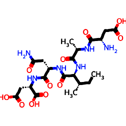 CC[C@H](C)[C@H](NC(=O)[C@H](C)NC(=O)[C@@H](N)CC(=O)O)C(=O)N[C@@H](CC(N)=O)C(=O)N[C@@H](CC(=O)O)C(=O)O